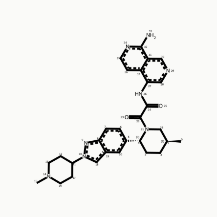 C[C@H]1CC[C@H](c2ccc3nn(C4CCN(C)CC4)cc3c2)N(C(=O)C(=O)Nc2cncc3c(N)nccc23)C1